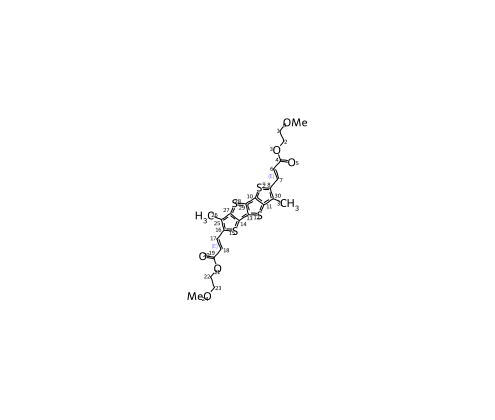 COCCOC(=O)/C=C/c1sc2c(sc3c4sc(/C=C/C(=O)OCCOC)c(C)c4sc23)c1C